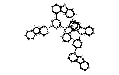 c1ccc2c(c1)oc1c(-c3ccc(-n4c5ccccc5c5cc(-c6ccc7oc8cccc(-c9nc(-c%10ccc%11c(c%10)sc%10ccccc%10%11)nc(-n%10c%11ccccc%11c%11ccccc%11%10)n9)c8c7c6)ccc54)cc3)cccc12